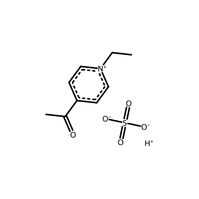 CC[n+]1ccc(C(C)=O)cc1.O=S(=O)([O-])[O-].[H+]